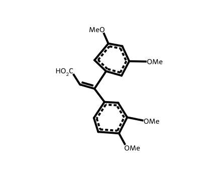 COc1cc(OC)cc(/C(=C\C(=O)O)c2ccc(OC)c(OC)c2)c1